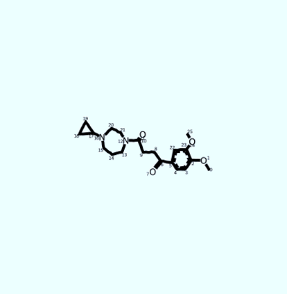 COc1ccc(C(=O)CCC(=O)N2CCCN(C3CC3)CC2)cc1OC